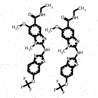 CCNC(=O)c1cc2nc(Nc3nc4ccc(OC(F)(F)F)cc4s3)n(C)c2cc1OC.CCNC(=O)c1cc2nc(Nc3nc4ccc(OC(F)(F)F)cc4s3)n(C)c2cc1OC